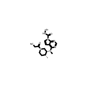 CCCNC(=O)n1ccc2c(N(C)[C@H]3CN(C(=O)CC#N)CC[C@H]3C)ncnc21